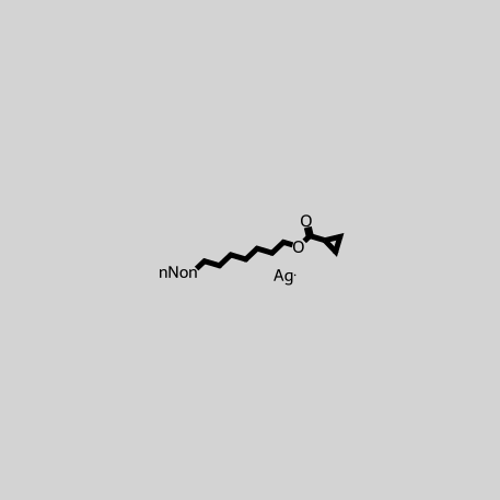 CCCCCCCCCCCCCCCCOC(=O)C1CC1.[Ag]